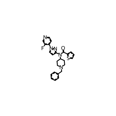 O=C(c1cccs1)N(c1ccn(-c2ccncc2F)n1)C1CCN(Cc2ccccc2)CC1